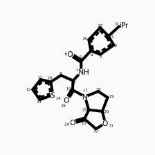 CC(C)c1ccc(C(=O)NC(Cc2cccs2)C(=O)N2CCC3OCC(=O)C32)cc1